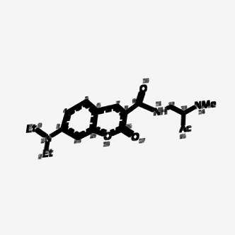 CCN(CC)c1ccc2cc(C(=O)NCC(NC)C(C)=O)c(=O)oc2c1